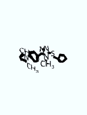 CCn1c(SCc2ccccc2)nnc1-c1ccc(-n2c(C)ccc2C)cc1